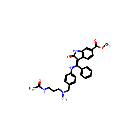 COC(=O)c1ccc2c(c1)NC(=O)/C2=C(\Nc1ccc(CN(C)CCCNC(C)=O)cc1)c1ccccc1